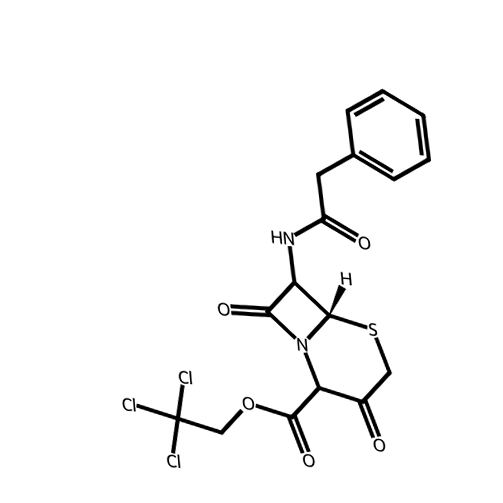 O=C(Cc1ccccc1)NC1C(=O)N2C(C(=O)OCC(Cl)(Cl)Cl)C(=O)CS[C@@H]12